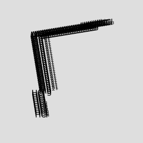 Cl.Cl.Cl.Cl.Cl.Cl.Cl.Cl.Cl.Cl.Cl.Cl.Cl.Cl.Cl.Cl.Cl.Cl.Cl.Cl.Cl.Cl.Cl.Cl.Cl.[Mg+2].[Mg+2].[Mg+2].[Mg+2].[Mg+2].[Mg+2].[Mg+2].[Mg+2].[Mg+2].[Mg+2].[Mg+2].[Mg+2].[Mg+2].[Mg+2].[Mg+2].[Mg+2].[Mg+2].[Mg+2].[Mg+2].[Mg+2].[Mg+2].[Mg+2].[Mg+2].[Mg+2].[Mg+2].[Mg+2].[Mg+2].[Mg+2].[Mg+2].[Mg+2].[Mg+2].[Mg+2].[Mg+2].[Mg+2].[Mg+2].[Mg+2].[Mg+2].[Mg+2].[Mg+2].[Mg+2].[Mg+2].[Mg+2].[Mg+2].[Mg+2].[Mg+2].[Mg+2].[Mg+2].[Mg+2].[Mg+2].[Mg+2].[Mg+2].[Mg+2].[Mg+2].[Mg+2].[Mg+2].[Mg+2].[Mg+2].[Mg+2].[Mg+2].[Mg+2].[Mg+2].[Mg+2].[Mg+2]